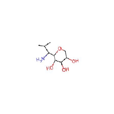 CC(C)C(N)C1OCC(O)C(O)C1O